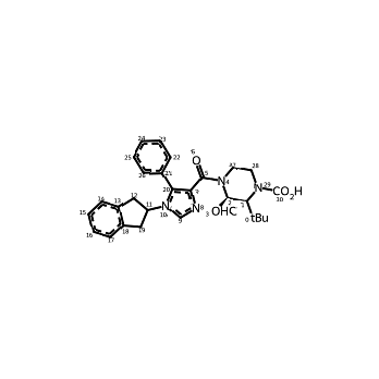 CC(C)(C)C1[C@@H](C=O)N(C(=O)c2ncn(C3Cc4ccccc4C3)c2-c2ccccc2)CCN1C(=O)O